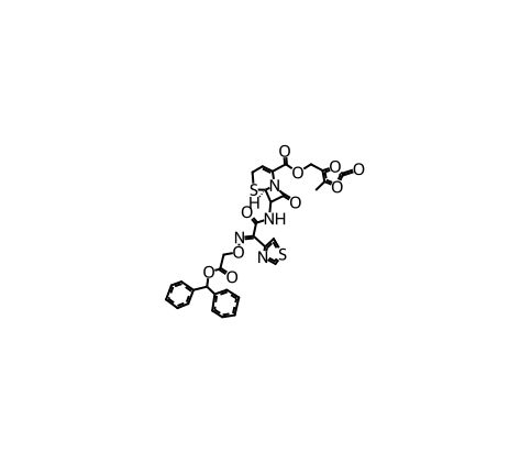 Cc1oc(=O)oc1COC(=O)C1=CCS[C@@H]2C(NC(=O)/C(=N/OCC(=O)OC(c3ccccc3)c3ccccc3)c3cscn3)C(=O)N12